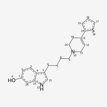 Oc1ccc2c(CCCCN3CC=C(c4cccs4)CC3)c[nH]c2c1